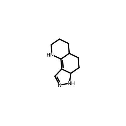 C1=NNC2CCC3CCCNC3=C12